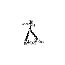 CCCCCCCCC(CC)OC(=O)CCCCCCCN(CCCCCCCC(=O)OC(CCCCCCCC)CCCCCCCC)CCCNc1nonc1NC